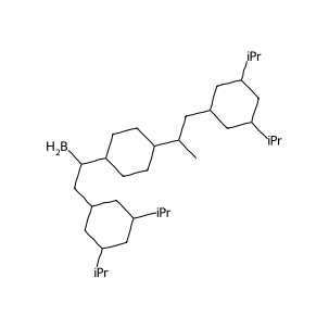 BC(CC1CC(C(C)C)CC(C(C)C)C1)C1CCC(C(C)CC2CC(C(C)C)CC(C(C)C)C2)CC1